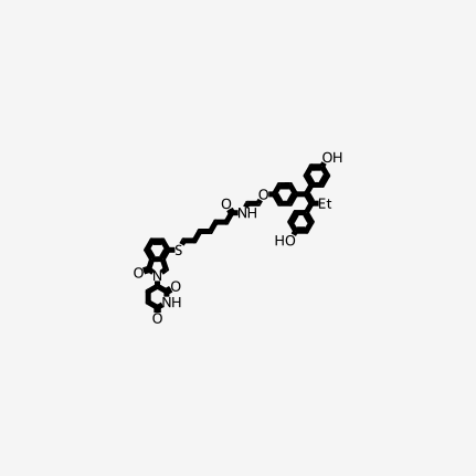 CCC(=C(c1ccc(O)cc1)c1ccc(OCCNC(=O)CCCCCCSc2cccc3c2CN(C2CCC(=O)NC2=O)C3=O)cc1)c1ccc(O)cc1